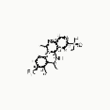 Cc1nc(NC(C)c2cccc(C(F)(F)F)c2C)c2cc(P(C)(C)=O)ncc2n1